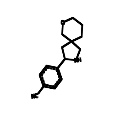 N#Cc1ccc(C2CC3(CCCOC3)CN2)cc1